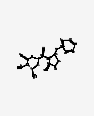 CC(C)(C)OC(=O)CC(CCC(F)(F)F)C(=O)N1C(=O)OCC1Cc1ccccc1